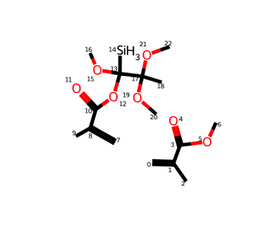 C=C(C)C(=O)OC.C=C(C)C(=O)OC([SiH3])(OC)C(C)(OC)OC